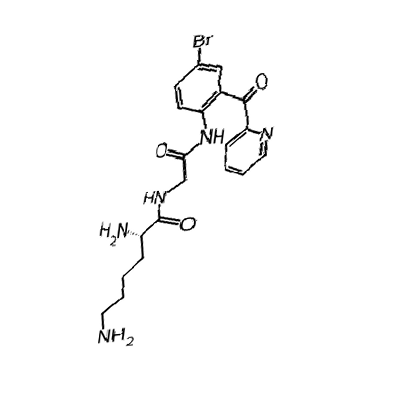 NCCCC[C@H](N)C(=O)NCC(=O)Nc1ccc(Br)cc1C(=O)c1ccccn1